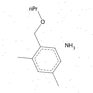 CCCOCc1ccc(C)cc1C.N